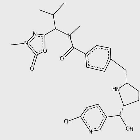 CC(C)C(c1nn(C)c(=O)o1)N(C)C(=O)c1ccc(C[C@@H]2CC[C@H](C(O)c3ccc(Cl)nc3)N2)cc1